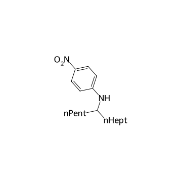 CCCCCCCC(CCCCC)Nc1ccc([N+](=O)[O-])cc1